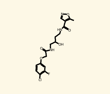 Cc1oncc1C(=O)NCCC(O)CNC(=O)COc1ccc(Cl)c(F)c1